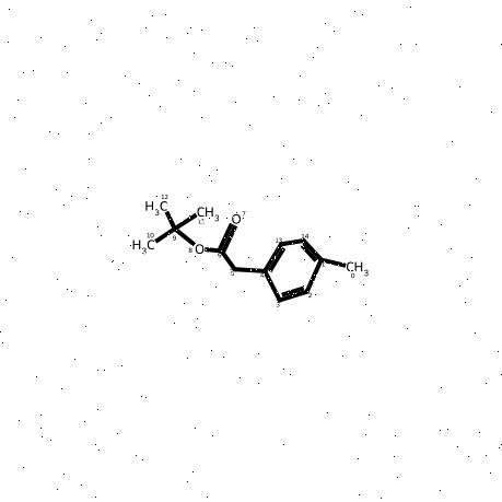 Cc1ccc([CH]C(=O)OC(C)(C)C)cc1